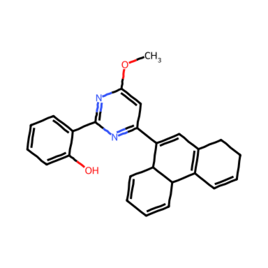 COc1cc(C2=CC3=C(C=CCC3)C3C=CC=CC23)nc(-c2ccccc2O)n1